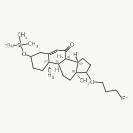 CC(C)CCCOC1CC[C@H]2[C@@H]3C(=O)C=C4CC(O[Si](C)(C)C(C)(C)C)CC[C@]4(C)[C@@H]3CC[C@]12C